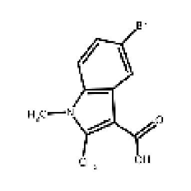 Cc1c(C(=O)O)c2cc(Br)ccc2n1C